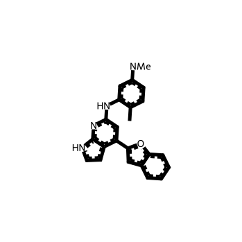 CNc1ccc(C)c(Nc2cc(-c3cc4ccccc4o3)c3cc[nH]c3n2)c1